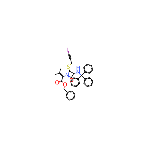 CC(C)=C(C(=O)OCc1ccccc1)N1C(=O)C(NC(c2ccccc2)(c2ccccc2)c2ccccc2)C1SCC#CI